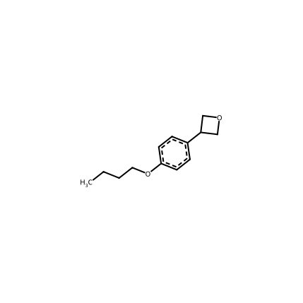 CCCCOc1ccc(C2COC2)cc1